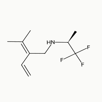 C=CC(CN[C@@H](C)C(F)(F)F)=C(C)C